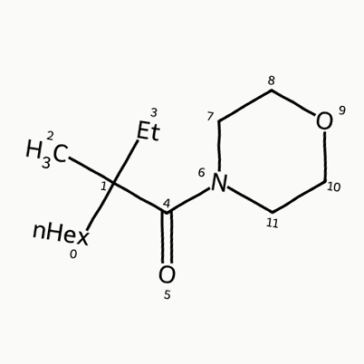 CCCCCCC(C)(CC)C(=O)N1CCOCC1